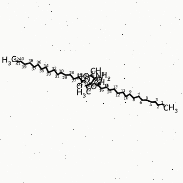 CCCCCCCCCCCCCCCCCC(=O)OC(CC)(OC(=O)CCCCCCCCCCCCCCCCC)C(C)(N)C(C)O